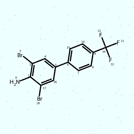 Nc1c(Br)cc(-c2ccc(C(F)(F)F)cc2)cc1Br